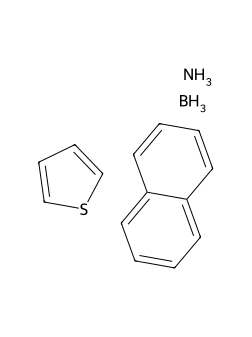 B.N.c1ccc2ccccc2c1.c1ccsc1